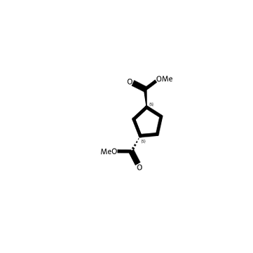 COC(=O)[C@H]1CC[C@H](C(=O)OC)C1